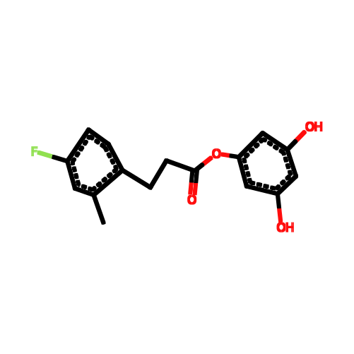 Cc1cc(F)ccc1CCC(=O)Oc1cc(O)cc(O)c1